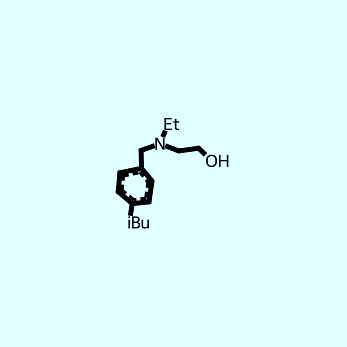 CCC(C)c1ccc(CN(CC)CCO)cc1